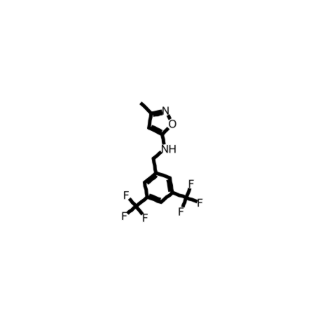 Cc1cc(NCc2cc(C(F)(F)F)cc(C(F)(F)F)c2)on1